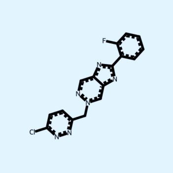 Fc1ccccc1-c1nc2cnn(Cc3ccc(Cl)nn3)cc-2n1